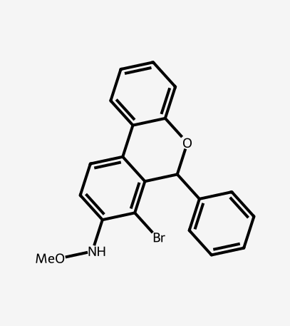 CONc1ccc2c(c1Br)C(c1ccccc1)Oc1ccccc1-2